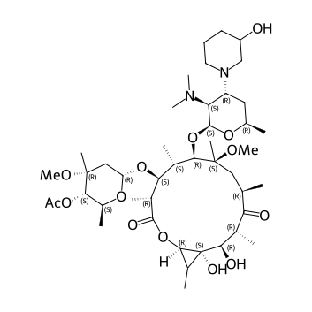 CO[C@]1(C)C[C@H](O[C@H]2[C@H](C)[C@@H](O[C@@H]3O[C@H](C)C[C@@H](N4CCCC(O)C4)[C@@H]3N(C)C)[C@@](C)(OC)C[C@@H](C)C(=O)[C@H](C)[C@@H](O)[C@@]3(O)C(C)[C@H]3OC(=O)[C@@H]2C)O[C@@H](C)[C@@H]1OC(C)=O